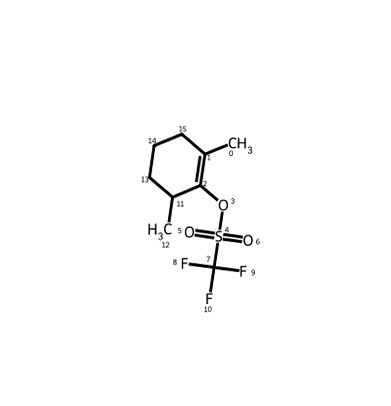 CC1=C(OS(=O)(=O)C(F)(F)F)C(C)CCC1